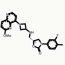 COc1ccc2nccc(N3CC(NC[C@@H]4CN(c5ccc(C)c(F)c5)C(=O)O4)C3)c2n1